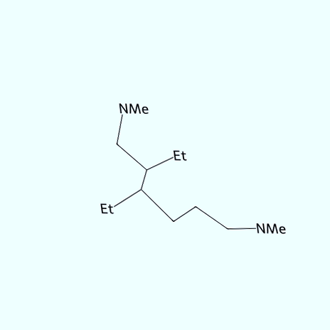 CCC(CCCNC)C(CC)CNC